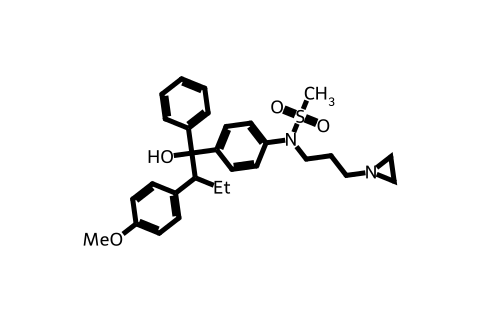 CCC(c1ccc(OC)cc1)C(O)(c1ccccc1)c1ccc(N(CCCN2CC2)S(C)(=O)=O)cc1